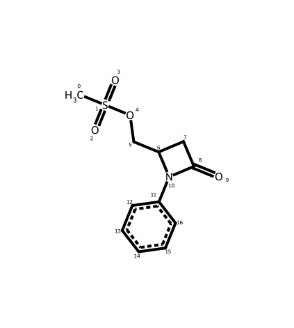 CS(=O)(=O)OCC1CC(=O)N1c1ccccc1